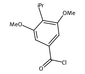 COc1cc(C(=O)Cl)cc(OC)c1C(C)C